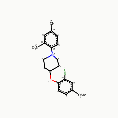 COc1ccc(OC2CCN(c3ccc(C#N)cc3[N+](=O)[O-])CC2)c(F)c1